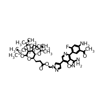 CO[C@H]1[C@H](O[Si](C)(C)C)[C@@H](CCC(=O)OCn2cc(-c3cnc(-c4cc(C(C)=O)c(N)cc4F)c4c(N)noc34)cn2)OC(O[Si](C)(C)C)[C@@H]1O[Si](C)(C)C